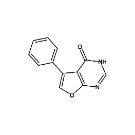 O=c1[nH]cnc2occ(-c3ccccc3)c12